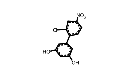 O=[N+]([O-])c1ccc(-c2cc(O)cc(O)c2)c(Cl)c1